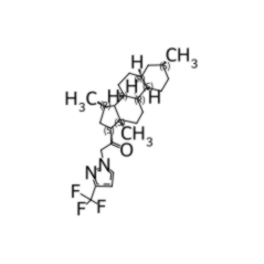 C[C@H]1CC[C@H]2[C@H](CC[C@H]3C4[C@H](C)C[C@H](C(=O)Cn5ccc(C(F)(F)F)n5)[C@@]4(C)CC[C@H]23)C1